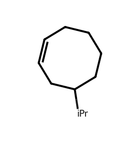 [CH2]C(C)C1C/C=C\CCCC1